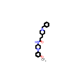 O=C(CCC1CCN(Cc2ccccc2)CC1)NC1CCN(c2cccc(OC(F)(F)F)c2)CC1